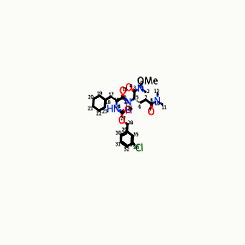 CON(C)C(=O)[C@H](CCC(=O)N(C)C)NC(=O)[C@H](CC1CCCCC1)NC(=O)OCc1cccc(Cl)c1